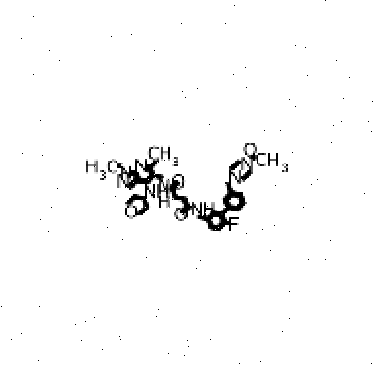 CCc1nc2c(cnn2CC)c(NC2CCOCC2)c1CNC(=O)CCC(=O)NCc1ccc(F)c(-c2cccc(CN3CCN(C(C)=O)CC3)c2)c1